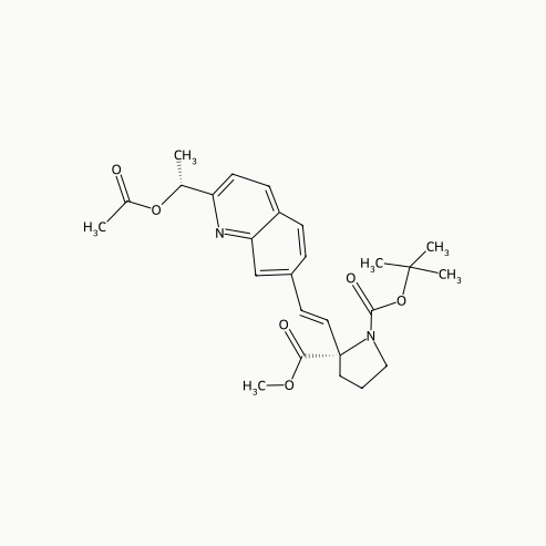 COC(=O)[C@@]1(/C=C/c2ccc3ccc([C@@H](C)OC(C)=O)nc3c2)CCCN1C(=O)OC(C)(C)C